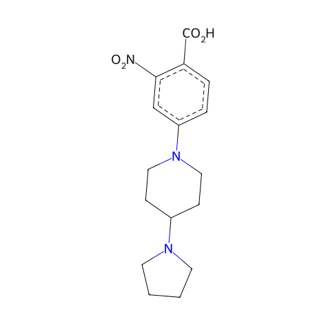 O=C(O)c1ccc(N2CCC(N3CCCC3)CC2)cc1[N+](=O)[O-]